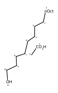 CC(=O)O.CCCCCCCCCCCCCCCCO